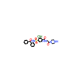 Cl.O=C(NCC(=O)N1CCNCC1)c1ccc(S(=O)(=O)Nc2ccccc2C(=O)c2ccccc2)cc1